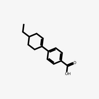 CCC1CC=C(c2ccc(C(=O)O)cc2)CC1